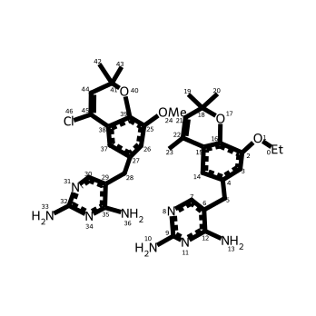 CCOc1cc(Cc2cnc(N)nc2N)cc2c1OC(C)(C)C=C2C.COc1cc(Cc2cnc(N)nc2N)cc2c1OC(C)(C)C=C2Cl